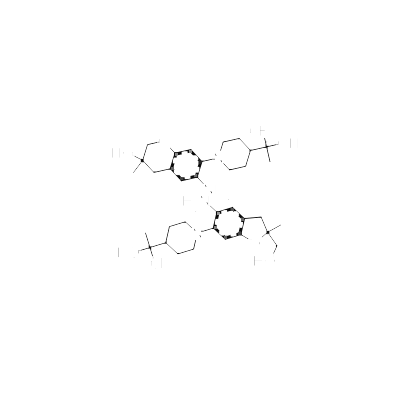 CC1(CO)Cc2cc(N)c(N3CCC(C(C)(O)C(F)(F)F)CC3)cc2O1.CC1(O)COc2cc(N3CCC(C(C)(O)C(F)(F)F)CC3)c(N)cc2C1